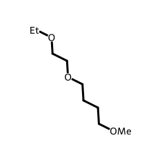 CCOCCOCCCCOC